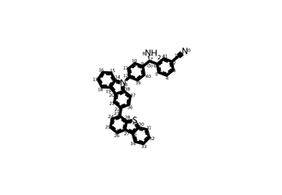 N#Cc1cccc([C@@H](N)c2ccc(-n3c4ccccc4c4cc(-c5cccc6c5sc5ccccc56)ccc43)cc2)c1